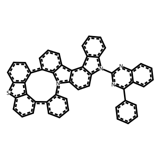 c1ccc(-c2nc(-n3c4ccccc4c4c5c6cccc7c8cccc9sc%10cccc(c%11ccccc%11n(c5ccc43)c76)c%10c98)nc3ccccc23)cc1